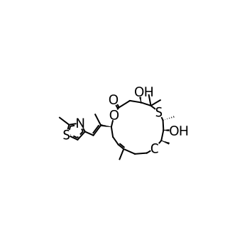 CC1=CC[C@@H](C(C)=Cc2csc(C)n2)OC(=O)C[C@@H](O)C(C)(C)S[C@H](C)[C@@H](O)[C@@H](C)CCC1